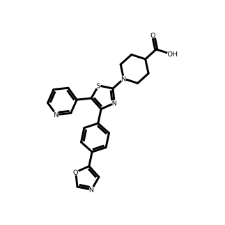 O=C(O)C1CCN(c2nc(-c3ccc(-c4cnco4)cc3)c(-c3cccnc3)s2)CC1